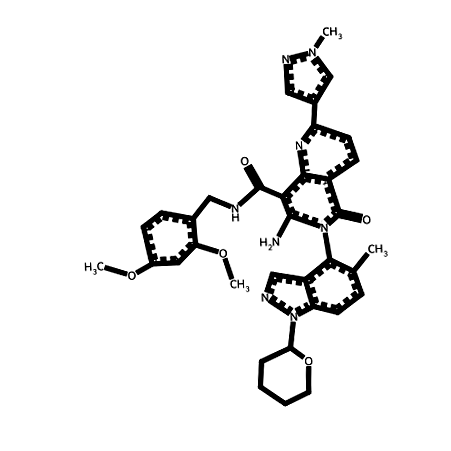 COc1ccc(CNC(=O)c2c(N)n(-c3c(C)ccc4c3cnn4C3CCCCO3)c(=O)c3ccc(-c4cnn(C)c4)nc23)c(OC)c1